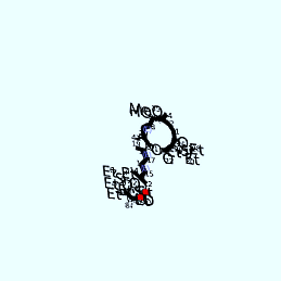 CC[C@H](O[Si](CC)(CC)CC)[C@@H](C)[C@@H]1O[C@H]1CC(C)(/C=C/C=C(\C)[C@H]1OC(=O)C[C@H](O[Si](CC)(CC)CC)CC[C@@](C)(OC)[C@@H](O)/C=C/[C@@H]1C)O[Si](CC)(CC)CC